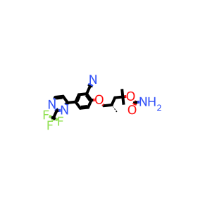 C[C@H](COc1ccc(-c2ccnc(C(F)(F)F)n2)cc1C#N)CC(C)(C)OC(N)=O